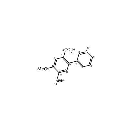 COc1cc(C(=O)O)c(-c2cccnc2)cc1SC